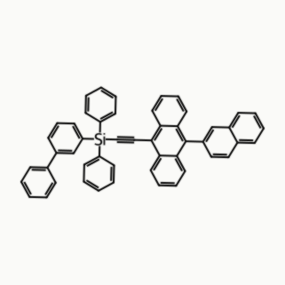 C(#C[Si](c1ccccc1)(c1ccccc1)c1cccc(-c2ccccc2)c1)c1c2ccccc2c(-c2ccc3ccccc3c2)c2ccccc12